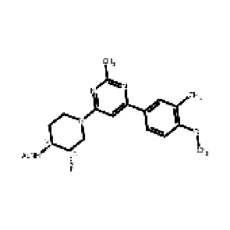 CC(=O)N[C@H]1CCN(c2cc(-c3ccc(OC(F)(F)F)c(C)c3)nc(C)n2)C[C@@H]1F